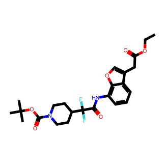 CCOC(=O)Cc1coc2c(NC(=O)C(F)(F)C3CCN(C(=O)OC(C)(C)C)CC3)cccc12